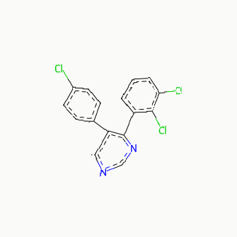 Clc1ccc(-c2[c]ncnc2-c2cccc(Cl)c2Cl)cc1